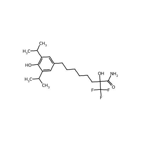 CC(C)c1cc(CCCCCCC(O)(C(N)=O)C(F)(F)F)cc(C(C)C)c1O